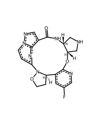 O=C1N[C@@H]2CNC[C@@H]2Oc2ncc(F)cc2[C@H]2CCON2c2ccn3ncc1c3n2